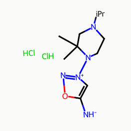 CC(C)N1CCN([n+]2cc([NH-])on2)C(C)(C)C1.Cl.Cl